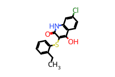 CCc1ccccc1Sc1c(O)c2ccc(Cl)cc2[nH]c1=O